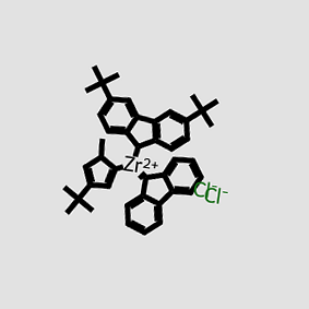 CC1C=C(C(C)(C)C)C=[C]1[Zr+2](=[C]1c2ccccc2-c2ccccc21)[CH]1c2ccc(C(C)(C)C)cc2-c2cc(C(C)(C)C)ccc21.[Cl-].[Cl-]